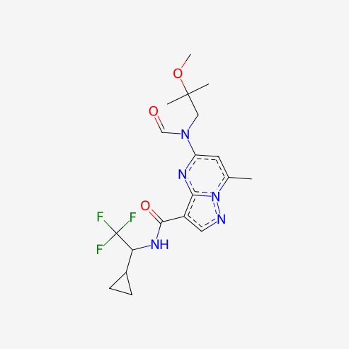 COC(C)(C)CN(C=O)c1cc(C)n2ncc(C(=O)NC(C3CC3)C(F)(F)F)c2n1